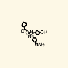 COc1ccc(-n2nc(OCC(=O)c3ccccc3)nc2-c2ccc(O)cc2)cc1